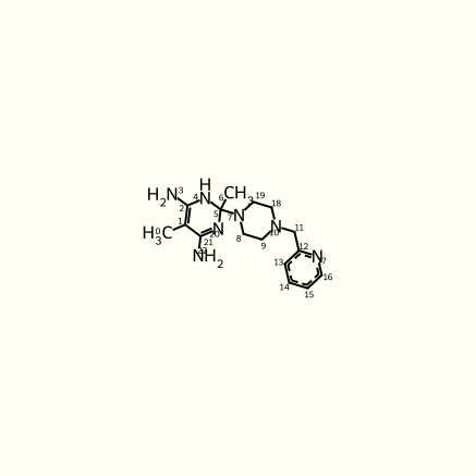 CC1=C(N)NC(C)(N2CCN(Cc3ccccn3)CC2)N=C1N